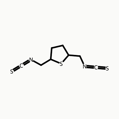 S=C=NCC1CCC(CN=C=S)S1